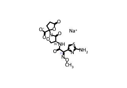 CO/N=C(/C(=O)N[C@H]1CON(C2(C(=O)[O-])CCC(=O)O2)C1=O)c1csc(N)n1.[Na+]